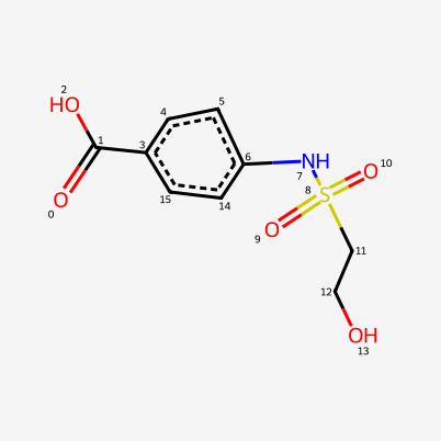 O=C(O)c1ccc(NS(=O)(=O)CCO)cc1